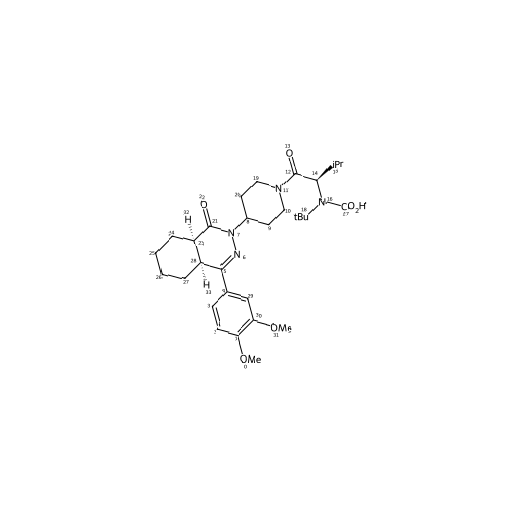 COc1ccc(C2=NN(C3CCN(C(=O)[C@@H](C(C)C)N(C(=O)O)C(C)(C)C)CC3)C(=O)[C@@H]3CCCC[C@H]23)cc1OC